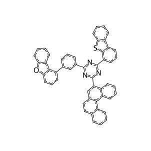 c1cc(-c2nc(-c3cc4ccc5ccccc5c4c4ccccc34)nc(-c3cccc4c3sc3ccccc34)n2)cc(-c2cccc3oc4ccccc4c23)c1